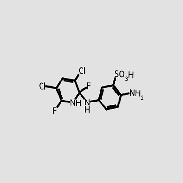 Nc1ccc(NC2(F)NC(F)=C(Cl)C=C2Cl)cc1S(=O)(=O)O